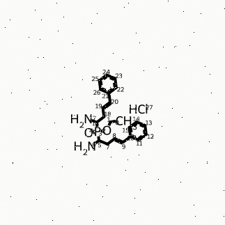 CCOP(=O)(C(N)CC=Cc1ccccc1)C(N)CC=Cc1ccccc1.Cl